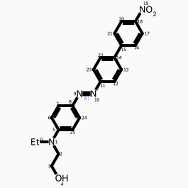 CCN(CCO)c1ccc(/N=N/c2ccc(-c3ccc([N+](=O)[O-])cc3)cc2)cc1